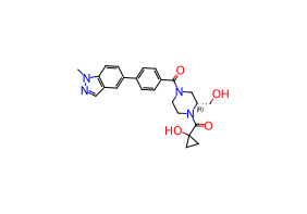 Cn1ncc2cc(-c3ccc(C(=O)N4CCN(C(=O)C5(O)CC5)[C@@H](CO)C4)cc3)ccc21